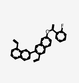 C=Cc1cc2ccc(OC(=C)c3ccccc3F)cc2cc1-c1ccc2cccc(C=C)c2c1